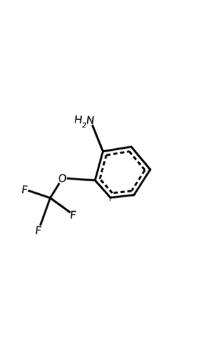 Nc1ccc[c]c1OC(F)(F)F